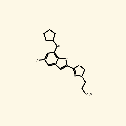 CCOC(=O)CC[C@@H]1CSC(c2cc3cc(C)cc(NC4CCCC4)c3[nH]2)=N1